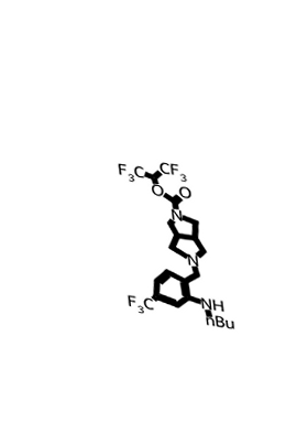 CCCCNc1cc(C(F)(F)F)ccc1CN1CC2CN(C(=O)OC(C(F)(F)F)C(F)(F)F)CC2C1